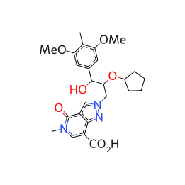 COc1cc(C(O)C(Cn2cc3c(=O)n(C)cc(C(=O)O)c3n2)OC2CCCC2)cc(OC)c1C